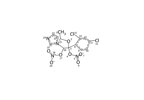 CCOC(O[N+](=O)[O-])(c1ccc(Cl)cc1Cl)C(O[N+](=O)[O-])n1ccnc1